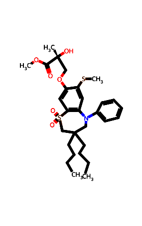 CCCCC1(CCCC)CN(c2ccccc2)c2cc(SC)c(OC[C@@](C)(O)C(=O)OC)cc2S(=O)(=O)C1